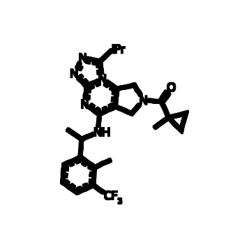 Cc1c(C(C)Nc2nc3nnc(C(C)C)n3c3c2CN(C(=O)C2(C)CC2)C3)cccc1C(F)(F)F